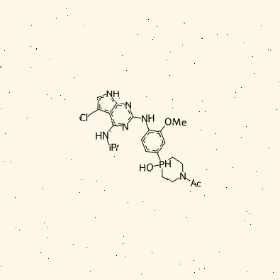 COc1cc([PH]2(O)CCN(C(C)=O)CC2)ccc1Nc1nc(NC(C)C)c2c(Cl)c[nH]c2n1